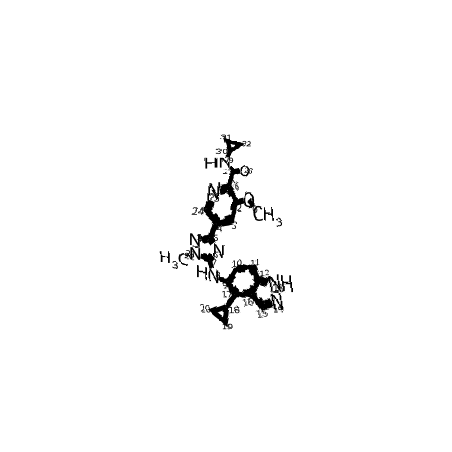 COc1cc(-c2nc(Nc3ccc4[nH]ncc4c3C3CC3)n(C)n2)cnc1C(=O)NC1CC1